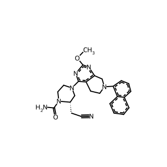 COc1nc2c(c(N3CCN(C(N)=O)[C@@H](CC#N)C3)n1)CCN(c1cccc3ccccc13)C2